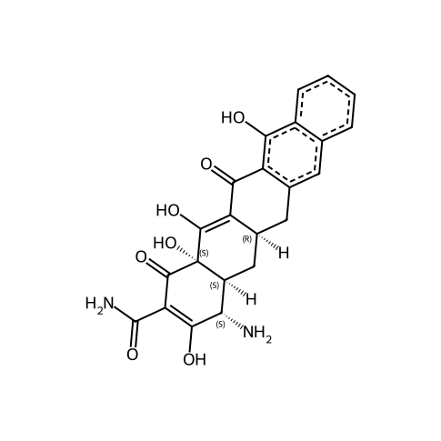 NC(=O)C1=C(O)[C@@H](N)[C@@H]2C[C@@H]3Cc4cc5ccccc5c(O)c4C(=O)C3=C(O)[C@]2(O)C1=O